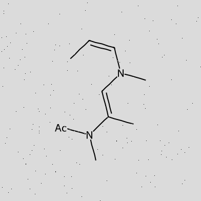 C/C=C\N(C)/C=C(\C)N(C)C(C)=O